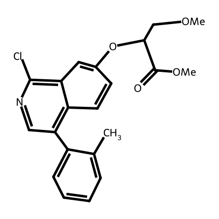 COCC(Oc1ccc2c(-c3ccccc3C)cnc(Cl)c2c1)C(=O)OC